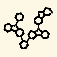 c1ccc(-n2c3ccccc3c3cc(-c4ccccc4-c4ccc5c(c4)c4ccccc4n5-c4ccc5oc6ccncc6c5c4)ccc32)cc1